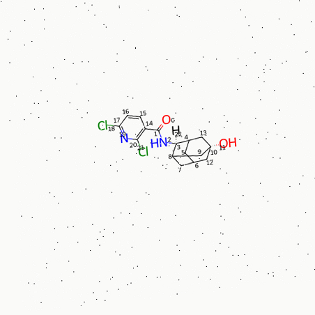 O=C(N[C@H]1C2CC3CC1C[C@](O)(C3)C2)c1ccc(Cl)nc1Cl